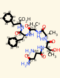 C[C@H](NC(=O)[C@H](C)NC(=O)[C@@H](NC(=O)[C@@H](N)CC(N)=O)[C@@H](C)O)C(=O)N[C@@H](Cc1ccccc1)C(=O)N[C@@H](Cc1ccccc1)C(=O)O